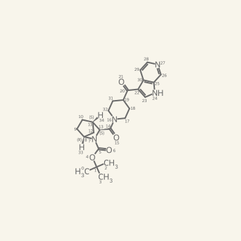 CC(C)(C)OC(=O)N1[C@@H]2CC[C@@H](C2)[C@H]1C(=O)N1CCC(C(=O)c2c[nH]c3cnccc23)CC1